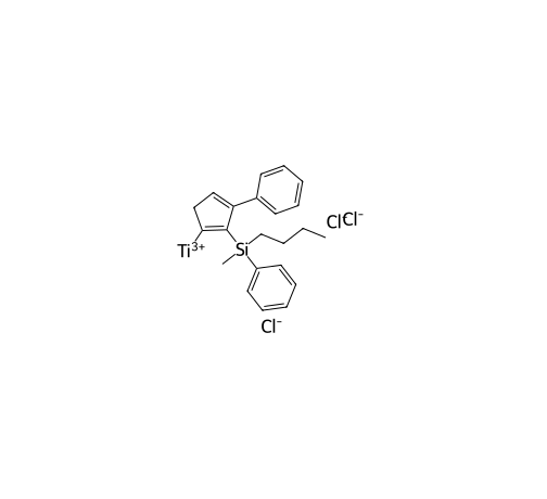 CCCC[Si](C)(C1=[C]([Ti+3])CC=C1c1ccccc1)c1ccccc1.[Cl-].[Cl-].[Cl-]